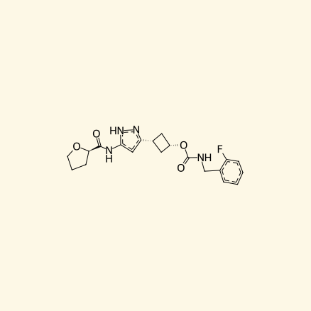 O=C(NCc1ccccc1F)O[C@H]1C[C@@H](c2cc(NC(=O)[C@H]3CCCO3)[nH]n2)C1